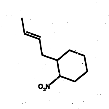 CC=CCC1CCCCC1[N+](=O)[O-]